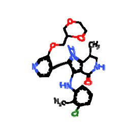 Cc1c(Cl)cccc1Nc1c(-c2ccncc2OCC2COCCO2)[nH]c2c1C(=O)NCC2C